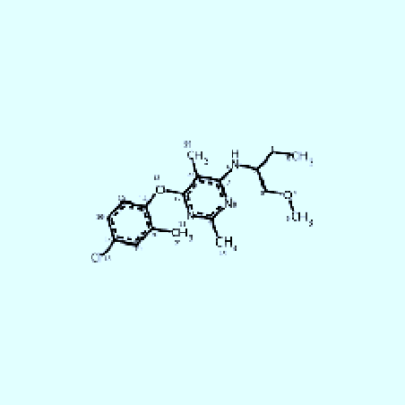 CCC(COC)Nc1nc(C)nc(Oc2ccc(Cl)cc2C)c1C